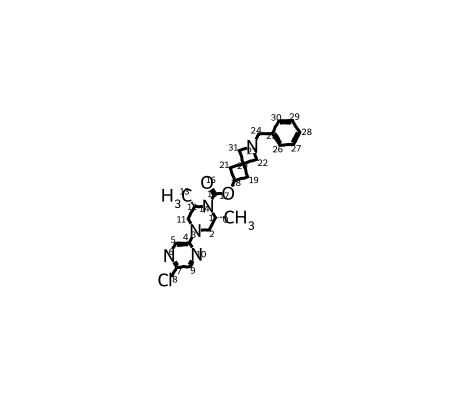 C[C@@H]1CN(c2cnc(Cl)cn2)C[C@H](C)N1C(=O)OC1CC2(C1)CN(Cc1ccccc1)C2